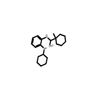 CC1(C(C=O)Nc2ccccc2NC2CCCCC2)CCCCC1